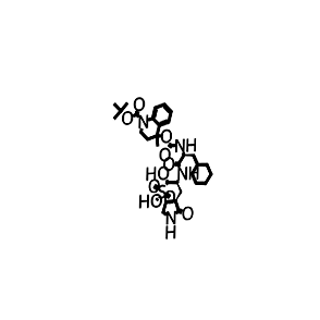 CC(C)(C)OC(=O)N1CCC(C)(OC(=O)N[C@@H](CC2CCCCC2)C(=O)N[C@@H](C[C@@H]2CCNC2=O)C(O)S(=O)(=O)O)c2ccccc21